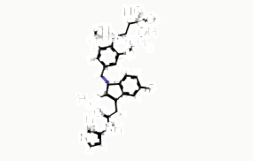 COc1cc(/C=C2/C(C)=C(CC(=O)Nc3ccn[nH]3)c3cc(F)ccc32)cc(OC)c1NCCP(=O)(O)O